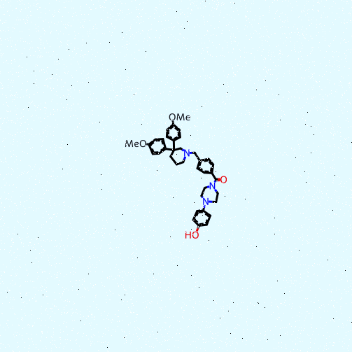 COc1ccc(C2(c3ccc(OC)cc3)CCCN(Cc3ccc(C(=O)N4CCN(c5ccc(O)cc5)CC4)cc3)C2)cc1